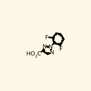 O=C(O)c1cnn(-c2c(F)cccc2F)n1